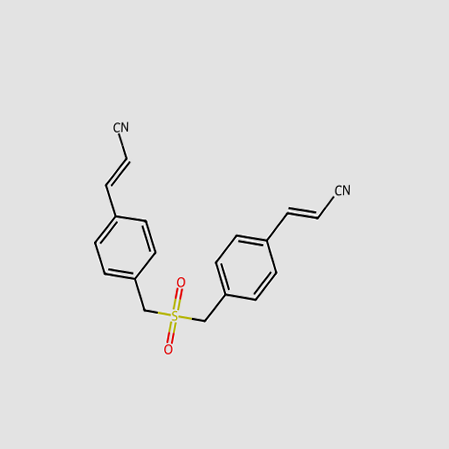 N#CC=Cc1ccc(CS(=O)(=O)Cc2ccc(C=CC#N)cc2)cc1